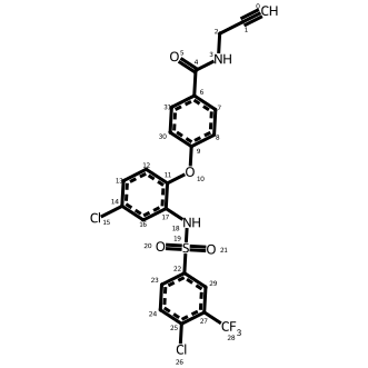 C#CCNC(=O)c1ccc(Oc2ccc(Cl)cc2NS(=O)(=O)c2ccc(Cl)c(C(F)(F)F)c2)cc1